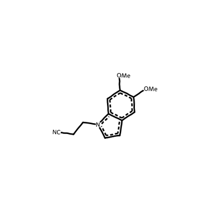 COc1cc2ccn(CCC#N)c2cc1OC